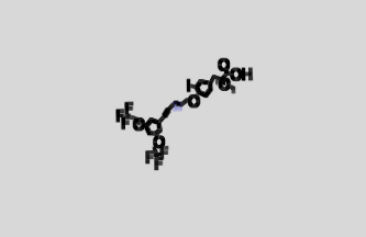 CCO[C@@H](Cc1ccc(OC/C=C/C#Cc2cc(OCC(F)(F)F)cc(OCC(F)(F)F)c2)c(I)c1)C(=O)O